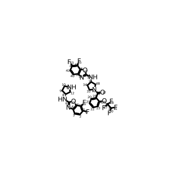 Fc1ccc2nc(N[C@@H]3CCNC3)oc2c1F.O=C(c1ccccc1OC(F)(F)C(F)F)N1CC[C@@H](Nc2nc3ccc(F)c(F)c3o2)C1